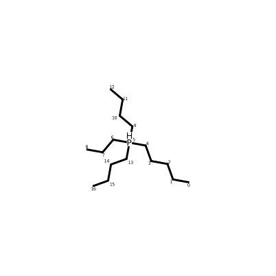 CCCCC[PH](CCC)(CCCC)CCCC